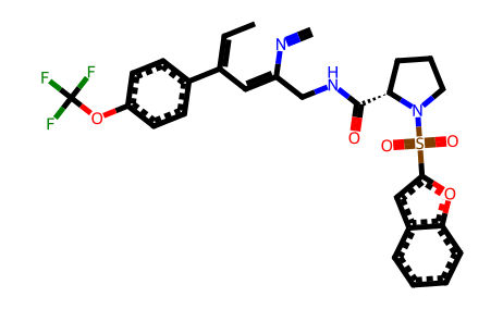 C=N/C(=C\C(=C/C)c1ccc(OC(F)(F)F)cc1)CNC(=O)[C@@H]1CCCN1S(=O)(=O)c1cc2ccccc2o1